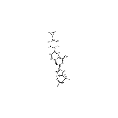 Cc1cn2nc(-c3cc(=O)n4cc(C5CCN(C6CC6)CC5)ccc4n3)cc2c(C)n1